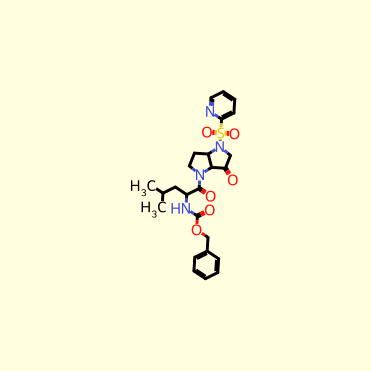 CC(C)CC(NC(=O)OCc1ccccc1)C(=O)N1CCC2C1C(=O)CN2S(=O)(=O)c1ccccn1